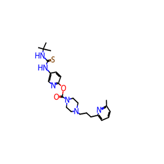 Cc1cccc(CCCN2CCN(C(=O)Oc3ccc(NC(=S)NC(C)(C)C)cn3)CC2)n1